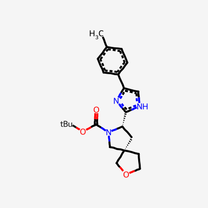 Cc1ccc(-c2c[nH]c([C@@H]3C[C@@]4(CCOC4)CN3C(=O)OC(C)(C)C)n2)cc1